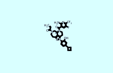 C=CC(=O)N1CCc2nn(-c3ccc(C4CCC4)cc3O)c3c2[C@H](C1)N(C(=O)c1cc(F)c(C(F)(F)F)nc1N)CC3